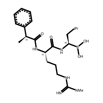 CNC(=N)NCCC[C@H](NC(=O)[C@@H](C)c1ccccc1)C(=O)N[C@@H](CC(C)C)B(O)O